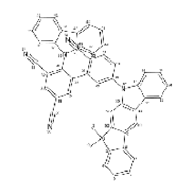 CC1(C)c2ccccc2-c2cc3c4ccccc4n(-c4ccc(C#N)c(-c5cc(C#N)cc(C#N)c5-n5c6ccccc6c6ccccc65)c4)c3cc21